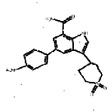 CC(=O)Nc1ccc(-c2cc(C(N)=O)c3[nH]cc(C4CCS(=O)(=O)CC4)c3c2)cc1